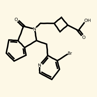 O=C(O)C1CC(CN2C(=O)c3ccccc3C2Cc2ncccc2Br)C1